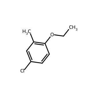 CCOc1ccc(Cl)cc1C